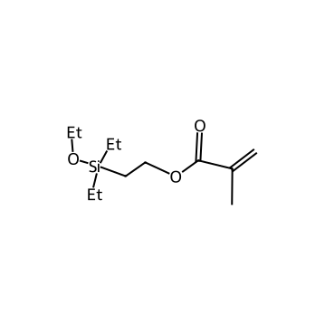 C=C(C)C(=O)OCC[Si](CC)(CC)OCC